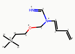 C=C/C=C/N(C=N)COCC[Si](C)(C)C